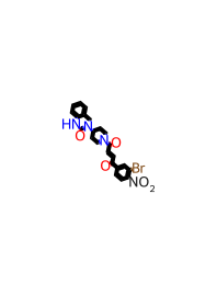 O=C(C=CC(=O)N1CCC(N2Cc3ccccc3NC2=O)CC1)c1ccc([N+](=O)[O-])c(Br)c1